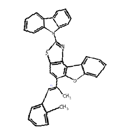 C/C(=C\c1ccccc1C)c1cc2sc(-n3c4ccccc4c4ccccc43)nc2c2c1oc1ccccc12